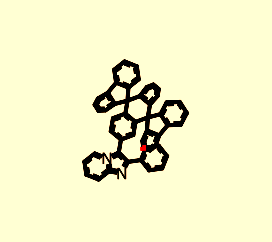 c1ccc(-c2nc3ccccn3c2-c2ccc3c(c2)C2(c4ccccc4-c4ccccc42)c2ccccc2C32c3ccccc3-c3ccccc32)cc1